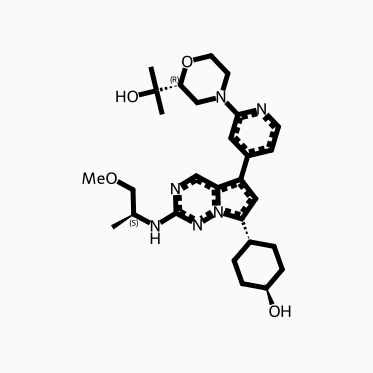 COC[C@H](C)Nc1ncc2c(-c3ccnc(N4CCO[C@@H](C(C)(C)O)C4)c3)cc([C@H]3CC[C@H](O)CC3)n2n1